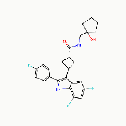 O=C(NCC1(O)CCCC1)[C@H]1C[C@H](c2c(-c3ccc(F)cc3)[nH]c3c(F)cc(F)cc32)C1